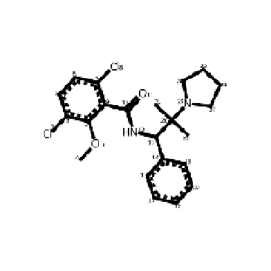 COc1c(Cl)ccc(Cl)c1C(=O)NC(c1ccccc1)C(C)(C)N1CCCC1